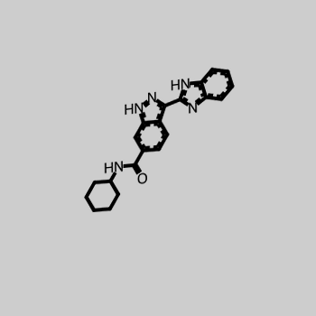 O=C(NC1CCCCC1)c1ccc2c(-c3nc4ccccc4[nH]3)n[nH]c2c1